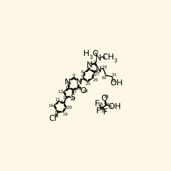 CN(C)c1nc2cc(-n3cnc4cc(-c5ccc(Cl)cc5)sc4c3=O)ccc2n1CCCO.O=C(O)C(F)(F)F